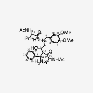 COc1ccc(CN(C[C@H](O)C(C(=O)[C@@H](NC(C)=O)C(C)C)C(N)c2ccccc2)NC(=O)[C@@H](NC(C)=O)C(C)C)cc1OC